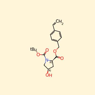 C=Cc1ccc(COC(=O)[C@H]2C[C@@H](O)CN2C(=O)OC(C)(C)C)cc1